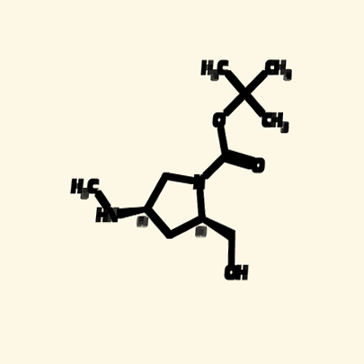 CN[C@@H]1C[C@H](CO)N(C(=O)OC(C)(C)C)C1